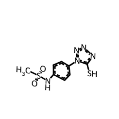 CS(=O)(=O)Nc1ccc(-n2nnnc2S)cc1